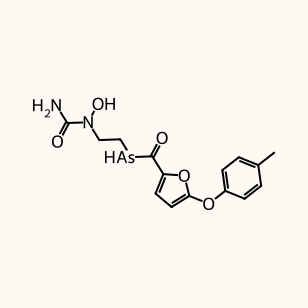 Cc1ccc(Oc2ccc(C(=O)[AsH]CCN(O)C(N)=O)o2)cc1